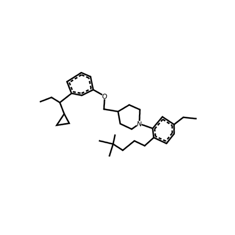 CCc1ccc(CCCC(C)(C)C)c(N2CCC(COc3cccc(C(CC)C4CC4)c3)CC2)c1